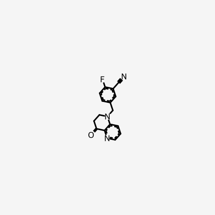 N#Cc1cc(CN2CCC(=O)c3ncccc32)ccc1F